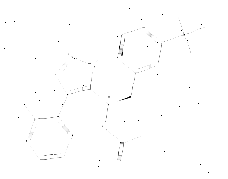 Cn1ncc(-c2ccccc2F)c1[C@@H](Cc1cccc(C(F)(F)F)c1)NC(=O)O